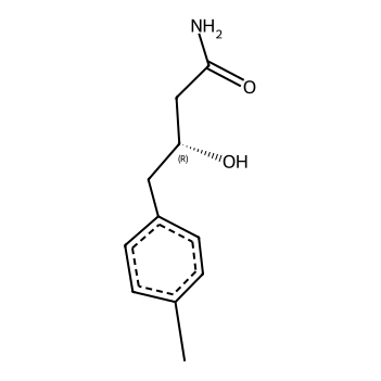 Cc1ccc(C[C@@H](O)CC(N)=O)cc1